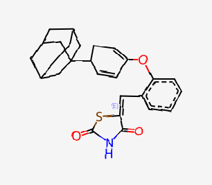 O=C1NC(=O)/C(=C\c2ccccc2OC2=CCC(C34CC5CC(CC(C5)C3)C4)C=C2)S1